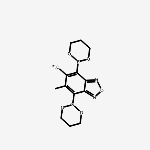 Cc1c(C(F)(F)F)c(B2OCCCO2)c2nonc2c1B1OCCCO1